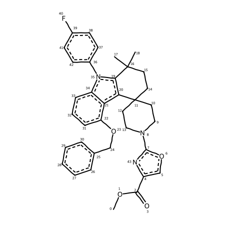 COC(=O)c1coc(N2CCC3(CC2)CCC(C)(C)c2c3c3c(OCc4ccccc4)cccc3n2-c2ccc(F)cc2)n1